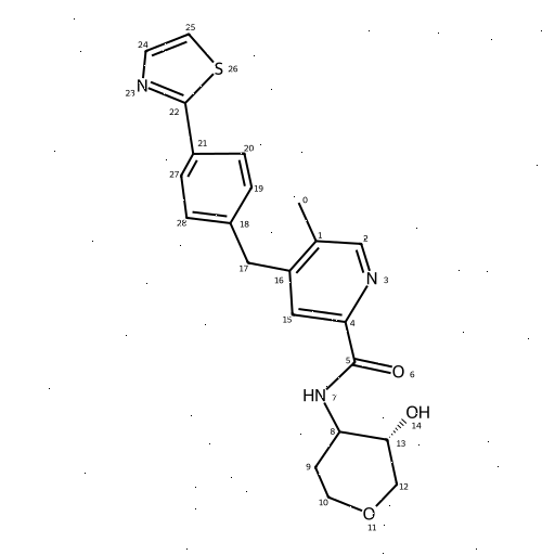 Cc1cnc(C(=O)NC2CCOC[C@H]2O)cc1Cc1ccc(-c2nccs2)cc1